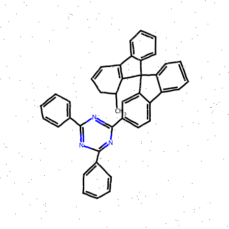 CC1CC=CC2=C1C1(c3ccccc32)c2ccccc2-c2ccc(-c3nc(-c4ccccc4)nc(-c4ccccc4)n3)cc21